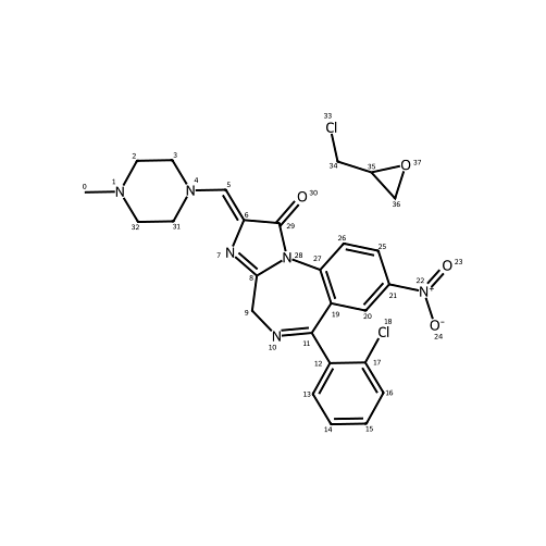 CN1CCN(/C=C2\N=C3CN=C(c4ccccc4Cl)c4cc([N+](=O)[O-])ccc4N3C2=O)CC1.ClCC1CO1